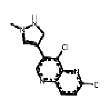 CN1C=C(c2cnc3ccc(Cl)nc3c2Cl)CN1